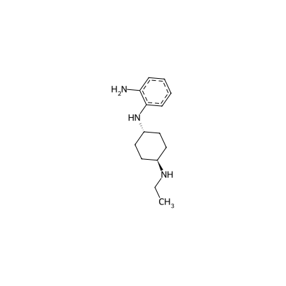 CCN[C@H]1CC[C@H](Nc2ccccc2N)CC1